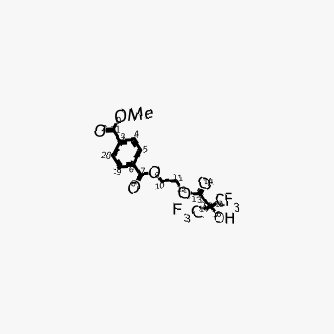 COC(=O)c1ccc(C(=O)OCCOC(=O)C(O)(C(F)(F)F)C(F)(F)F)cc1